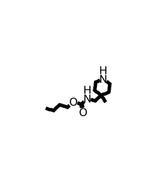 CCCCOC(=O)NCC1(C)CCNCC1